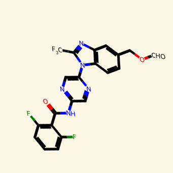 O=COCc1ccc2c(c1)nc(C(F)(F)F)n2-c1cnc(NC(=O)c2c(F)cccc2F)cn1